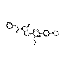 CC(C)CC(NC(=O)c1ccc(N2CCCC2)cc1)C(=O)N1CC=C2C1C(=O)CN2C(=O)Oc1ccccc1